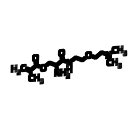 C=C(C)C(=O)OCC(N)C(=O)NCCOCCN(C)C